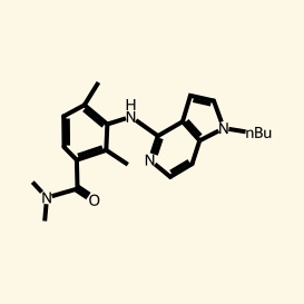 CCCCn1ccc2c(Nc3c(C)ccc(C(=O)N(C)C)c3C)nccc21